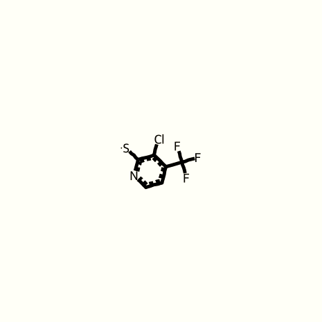 FC(F)(F)c1ccnc([S])c1Cl